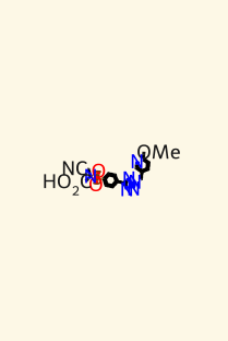 COc1ccc(Cn2nnc(-c3ccc(S(=O)(=O)N(CC#N)C(=O)O)cc3)n2)cn1